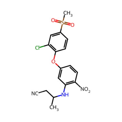 CC(CC#N)Nc1cc(Oc2ccc(S(C)(=O)=O)cc2Cl)ccc1[N+](=O)[O-]